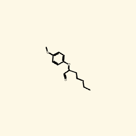 CCCCCC(C=O)Oc1ccc(OC)cc1